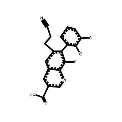 N#CCCc1cc2cc(C(=O)O)cnc2c(F)c1-c1cccc(Cl)c1Cl